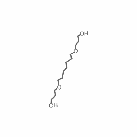 OCCCOCCCCCCCOCCCO